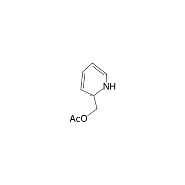 CC(=O)OC[C]1C=CC=CN1